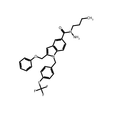 CCCCN(N)C(=O)c1ccc2c(c1)cc(COc1ccccc1)n2Cc1ccc(SC(F)(F)F)cc1